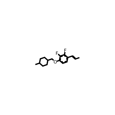 CC=Cc1ccc(OCC2CCC(C)CC2)c(F)c1F